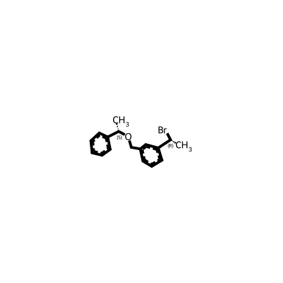 C[C@H](OCc1cccc([C@@H](C)Br)c1)c1ccccc1